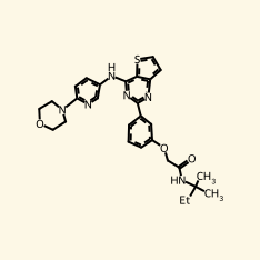 CCC(C)(C)NC(=O)COc1cccc(-c2nc(Nc3ccc(N4CCOCC4)nc3)c3sccc3n2)c1